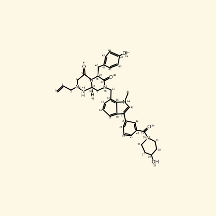 C=CCN1CC(=O)N2[C@H](CN(Cc3cccc4c(-c5cccc(C(=O)N6CCC(O)CC6)c5)cn(C)c34)C(=O)[C@@H]2Cc2ccc(O)cc2)N1